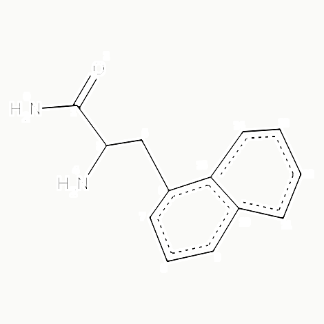 NC(=O)C(N)Cc1cccc2ccccc12